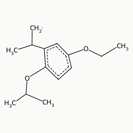 [CH2]C(C)c1cc(OCC)ccc1OC(C)C